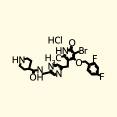 Cc1[nH]c(=O)c(Br)c(OCc2ccc(F)cc2F)c1Cc1cnc(CNC(=O)C2CCNCC2)cn1.Cl